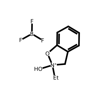 CC[N+]1(O)Cc2ccccc2O1.FB(F)F